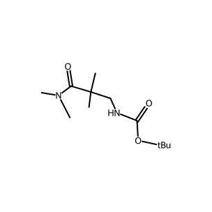 CN(C)C(=O)C(C)(C)CNC(=O)OC(C)(C)C